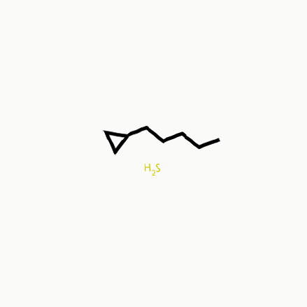 CCCCCC1CC1.S